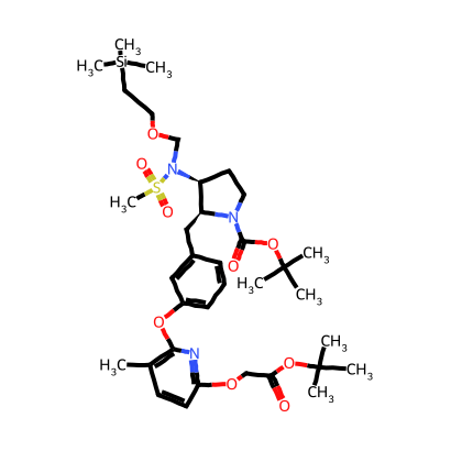 Cc1ccc(OCC(=O)OC(C)(C)C)nc1Oc1cccc(C[C@H]2[C@@H](N(COCC[Si](C)(C)C)S(C)(=O)=O)CCN2C(=O)OC(C)(C)C)c1